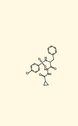 O=C(NNC(=O)C(Cc1ccccc1)NS(=O)(=O)c1ccc(Cl)cc1)C1CC1